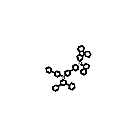 C1=CCC2C(=C1)c1ccc(N(c3ccc(-c4ccc(N(c5ccc(-c6ccccc6)cc5)c5cc(-c6ccccc6)cc(-c6ccccc6)c5)cc4)cc3)c3cccc4ccccc34)cc1C21CCCCC1